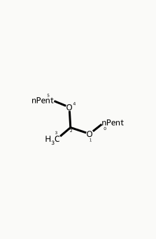 CCCCCOC(C)OCCCCC